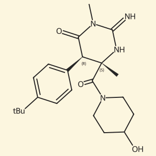 CN1C(=N)N[C@](C)(C(=O)N2CCC(O)CC2)[C@@H](c2ccc(C(C)(C)C)cc2)C1=O